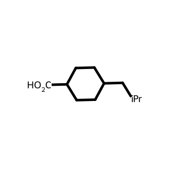 CC(C)CC1CCC(C(=O)O)CC1